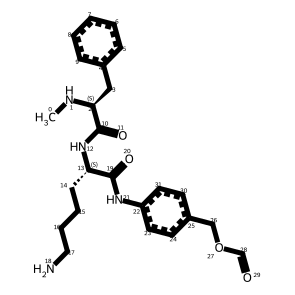 CN[C@@H](Cc1ccccc1)C(=O)N[C@@H](CCCCN)C(=O)Nc1ccc(COC=O)cc1